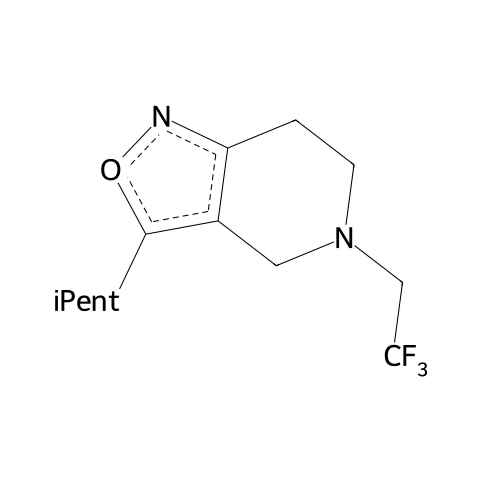 CCCC(C)c1onc2c1CN(CC(F)(F)F)CC2